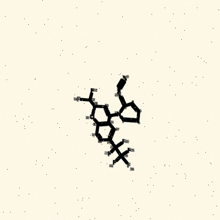 N#CN=c1ccccn1C1=CC(C(F)F)Oc2ccc(C(F)(F)C(F)(F)F)cc21